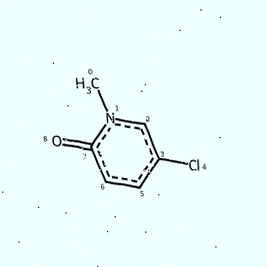 Cn1cc(Cl)ccc1=O